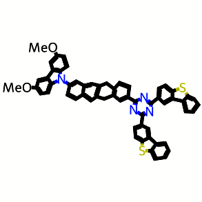 COc1ccc2c(c1)c1cc(OC)ccc1n2-c1ccc2cc3c(cc2c1)Cc1ccc(-c2nc(-c4ccc5sc6ccccc6c5c4)nc(-c4ccc5sc6ccccc6c5c4)n2)cc1C3